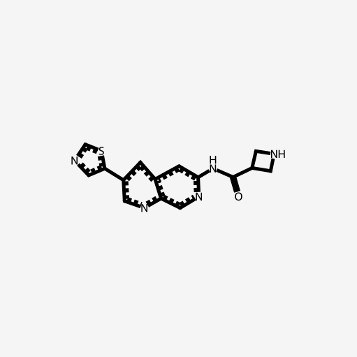 O=C(Nc1cc2cc(-c3cncs3)cnc2cn1)C1CNC1